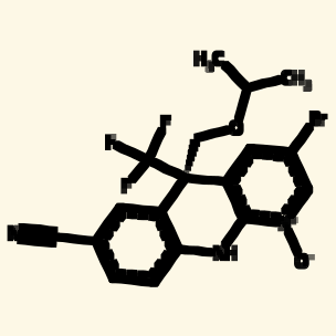 CC(C)OC[C@@]1(C(F)(F)F)c2cc(C#N)ccc2Nc2c1cc(Br)c[n+]2[O-]